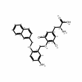 Nc1ccc(OCc2ccc3ccccc3c2)c(COc2c(Cl)cc(C[C@H](N)C(=O)O)cc2Cl)c1